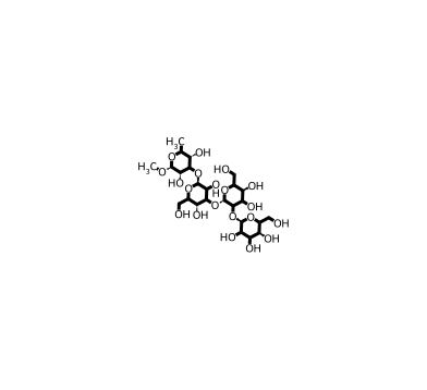 CO[C@@H]1OC(C)[C@H](O)C(O[C@@H]2OC(CO)[C@@H](O)C(O[C@@H]3OC(CO)[C@@H](O)C(O)C3O[C@H]3OC(CO)[C@@H](O)C(O)C3O)C2O)[C@@H]1O